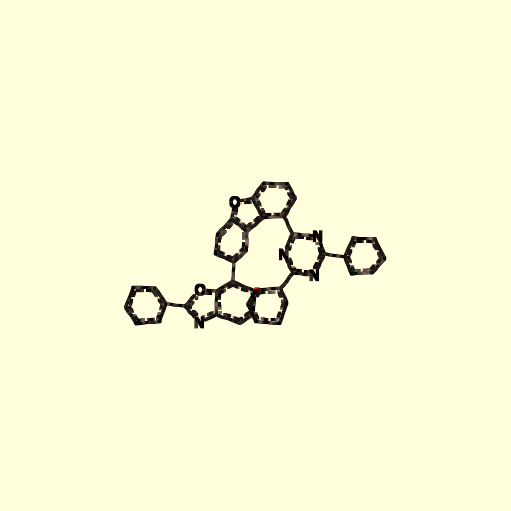 c1ccc(-c2nc(-c3ccccc3)nc(-c3cccc4oc5ccc(-c6cccc7nc(-c8ccccc8)oc67)cc5c34)n2)cc1